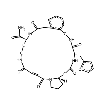 NC(=O)[C@@H]1CCNC(=O)/C=C/C(=O)N2CCC[C@H]2CC(=O)N[C@@H](Cc2ccco2)C(=O)NCc2ccccc2CC(=O)N1